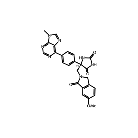 COc1ccc2c(c1)C(=O)N(C[C@@]1(c3ccc(-c4ncnc5c4ncn5C)cc3)NC(=O)NC1=O)C2